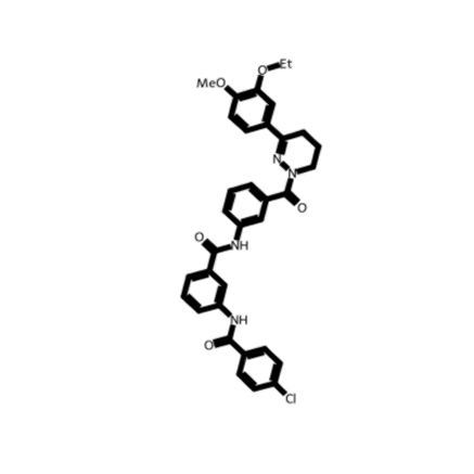 CCOc1cc(C2=NN(C(=O)c3cccc(NC(=O)c4cccc(NC(=O)c5ccc(Cl)cc5)c4)c3)CCC2)ccc1OC